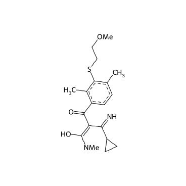 CN/C(O)=C(\C(=N)C1CC1)C(=O)c1ccc(C)c(SCCOC)c1C